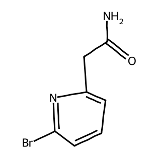 NC(=O)Cc1cccc(Br)n1